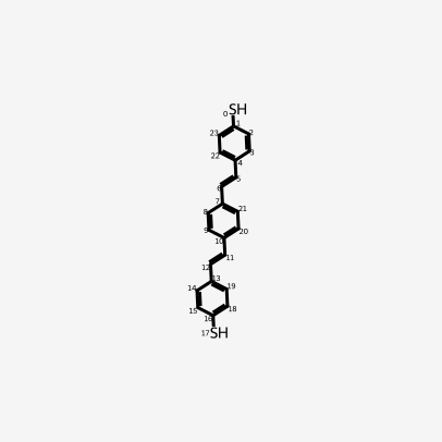 Sc1ccc(C=Cc2ccc(C=Cc3ccc(S)cc3)cc2)cc1